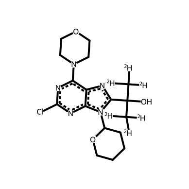 [2H]C([2H])([2H])C(O)(c1nc2c(N3CCOCC3)nc(Cl)nc2n1C1CCCCO1)C([2H])([2H])[2H]